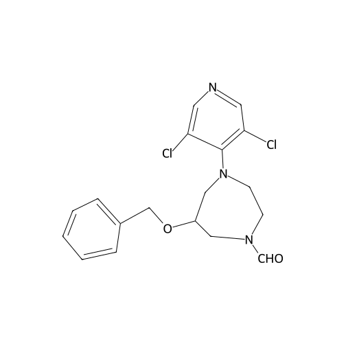 O=CN1CCN(c2c(Cl)cncc2Cl)CC(OCc2ccccc2)C1